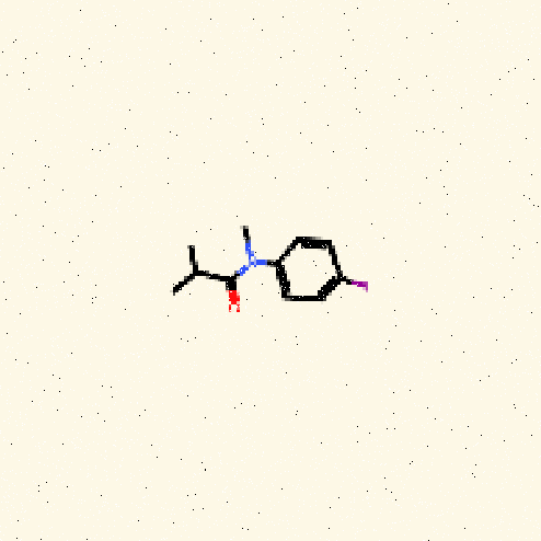 CC(C)C(=O)N(C)c1ccc(I)cc1